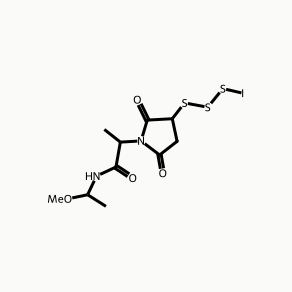 COC(C)NC(=O)C(C)N1C(=O)CC(SSSI)C1=O